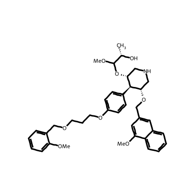 COc1ccccc1COCCCOc1ccc([C@@H]2[C@@H](OCc3cc(OC)c4ccccc4c3)CNC[C@H]2OC(OC)[C@H](C)O)cc1